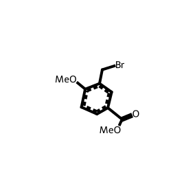 COC(=O)c1ccc(OC)c(CBr)c1